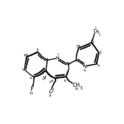 Cc1ccnc(-c2nc3cccc(F)c3c(Cl)c2C)c1